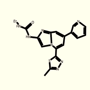 CCNC(=O)Nc1cn2c(-c3nnc(C)s3)cc(-c3cccnc3)cc2n1